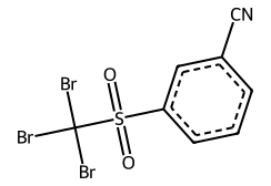 N#Cc1cccc(S(=O)(=O)C(Br)(Br)Br)c1